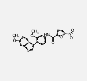 COc1ccn2c(-c3ccc(NC(=O)c4ccc([N+](=O)[O-])o4)cc3OC)cnc2c1